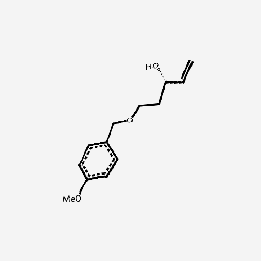 C=C[C@@H](O)CCOCc1ccc(OC)cc1